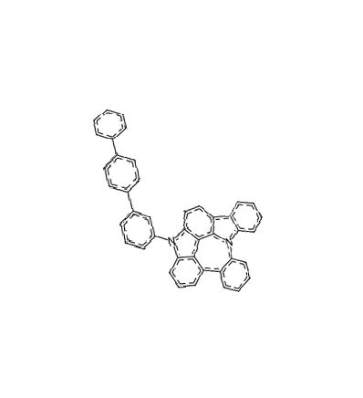 c1ccc(-c2ccc(-c3cccc(-n4c5cccc6c7ccccc7n7c8ccccc8c8ccc4c(c65)c87)c3)cc2)cc1